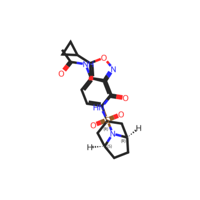 CC(=O)Nc1ccc(S(=O)(=O)N2[C@@H]3CC[C@H]2C[C@@H](NC(=O)c2cc(C4CC4)on2)C3)cc1